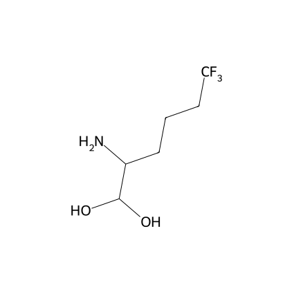 NC(CCCC(F)(F)F)C(O)O